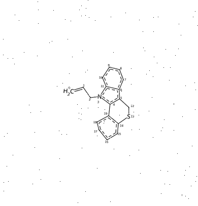 C=CCn1c2c(c3ccccc31)CSc1ccccc1-2